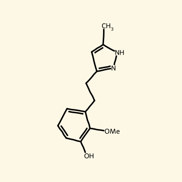 COc1c(O)cccc1CCc1cc(C)[nH]n1